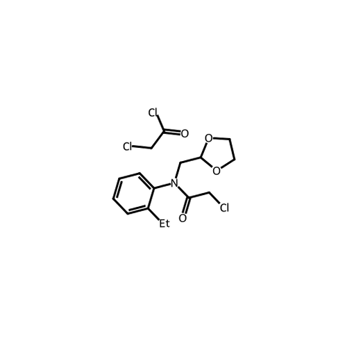 CCc1ccccc1N(CC1OCCO1)C(=O)CCl.O=C(Cl)CCl